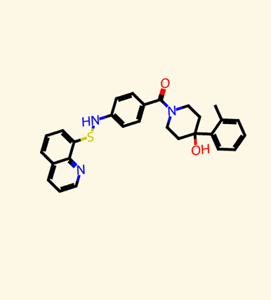 Cc1ccccc1C1(O)CCN(C(=O)c2ccc(NSc3cccc4cccnc34)cc2)CC1